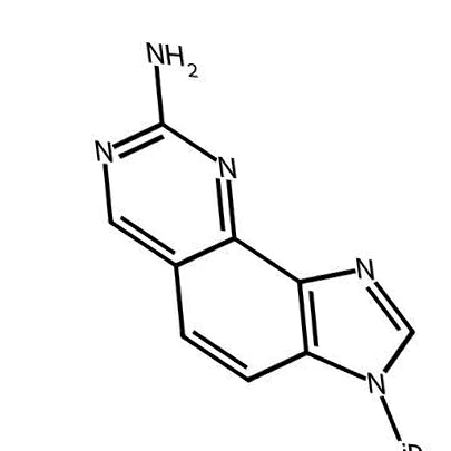 CC(C)n1cnc2c3nc(N)ncc3ccc21